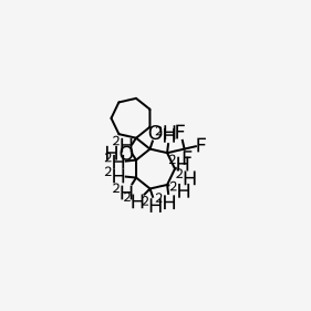 [2H]C1([2H])C([2H])([2H])C([2H])([2H])C([2H])(C(F)(F)F)C(O)(C2(O)CCCCCC2)C([2H])([2H])C1([2H])[2H]